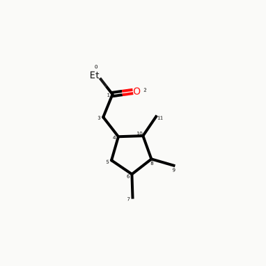 CCC(=O)CC1CC(C)C(C)C1C